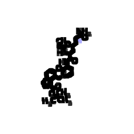 COC(=O)NC(CC/C=C/C(N)=O)C(=O)Nc1cccn(Cc2cccc3ccn(C(=O)OC(C)(C)C)c23)c1=O